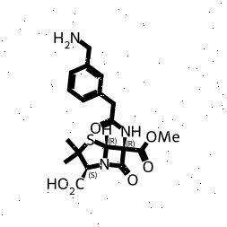 COC(=O)[C@]1(NC(=O)Cc2cccc(CN)c2)C(=O)N2[C@@H](C(=O)O)C(C)(C)S[C@@H]21